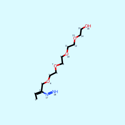 C/C=C(/COCCOCCOCCOCCO)N=N